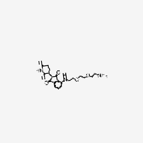 NCCOCCOCCNc1cccc2c1C(=O)C(C1CCC(=O)NC1=O)C2=O